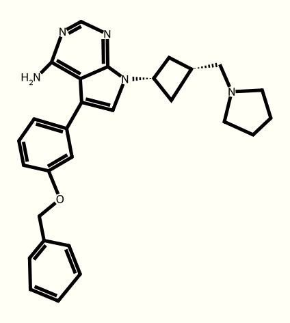 Nc1ncnc2c1c(-c1cccc(OCc3ccccc3)c1)cn2[C@H]1C[C@@H](CN2CCCC2)C1